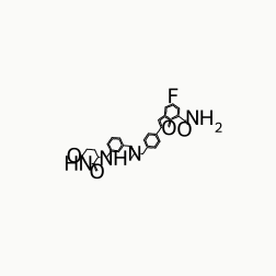 CN(Cc1ccc(-c2cc3cc(F)cc(C(N)=O)c3o2)cc1)Cc1cccc(NC2CCC(=O)NC2=O)c1